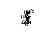 CC(C)C(C)NC(=O)N[C@H]1CC[C@H](Nc2nc(NC3CC3)n3ncc(/C=C4\NC(=O)NC4=O)c3n2)CC1